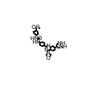 CN/C=C(\C=N)c1ccc2c(N3CCOCC3)nc(-c3ccc(NC(=O)Nc4ccc(C(=O)N(C)C)cc4)cc3)nc2c1